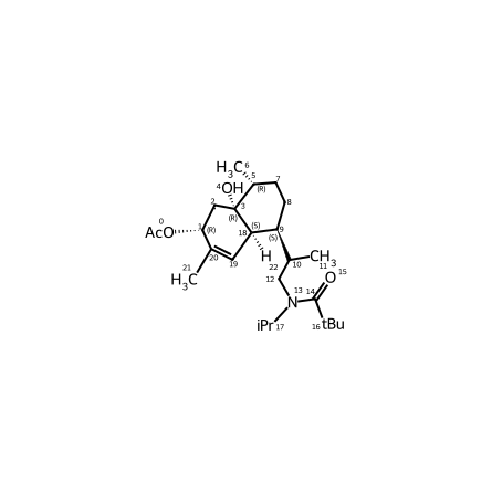 CC(=O)O[C@@H]1[CH][C@@]2(O)[C@H](C)CC[C@@H](C(C)CN(C(=O)C(C)(C)C)C(C)C)[C@H]2C=C1C